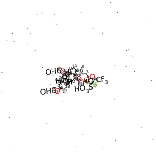 CC(CCC(=O)OC(C(F)(F)F)C(F)(F)S(=O)(=O)O)[C@H]1CC[C@H]2[C@@H]3[C@H](OC=O)C[C@@H]4C[C@H](OC=O)CC[C@]4(C)[C@H]3C[C@H](OC=O)[C@]12C